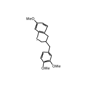 COc1ccc2c(c1)SCC(Cc1ccc(OC)c(OC)c1)C2